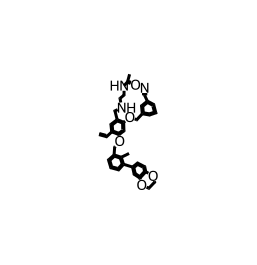 C=Cc1cc(CNCCNC(C)=O)c(OCc2cccc(C#N)c2)cc1OCc1cccc(-c2ccc3c(c2)OCCO3)c1C